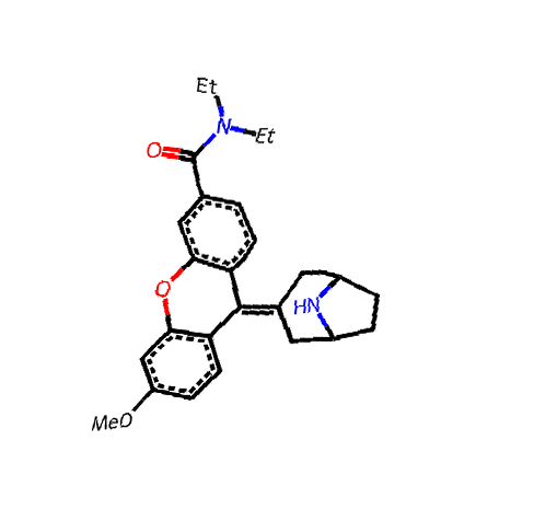 CCN(CC)C(=O)c1ccc2c(c1)Oc1cc(OC)ccc1C2=C1CC2CCC(C1)N2